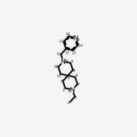 CCN1CCC2(CC1)CCN(Cc1ccncc1)CC2